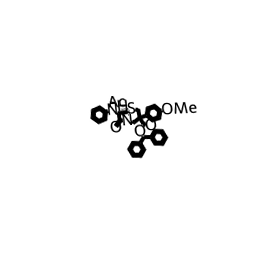 COc1ccc(C2(C(=O)OC(c3ccccc3)c3ccccc3)CS[C@@H]3C(N(C(C)=O)c4ccccc4)C(=O)N3C2)cc1